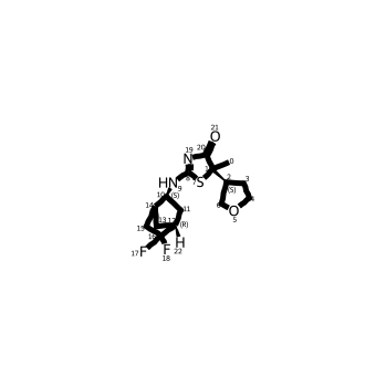 CC1([C@H]2CCOC2)SC(N[C@H]2C[C@H]3CC2CC3(F)F)=NC1=O